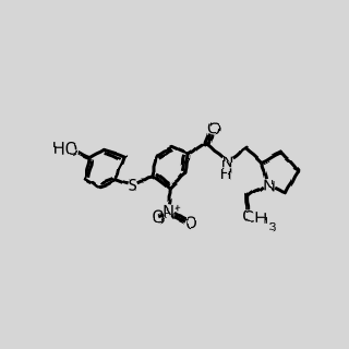 CCN1CCCC1CNC(=O)c1ccc(Sc2ccc(O)cc2)c([N+](=O)[O-])c1